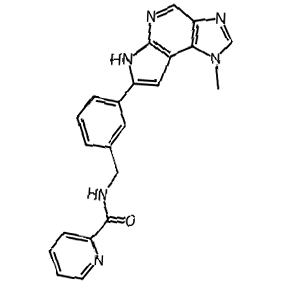 Cn1cnc2cnc3[nH]c(-c4cccc(CNC(=O)c5ccccn5)c4)cc3c21